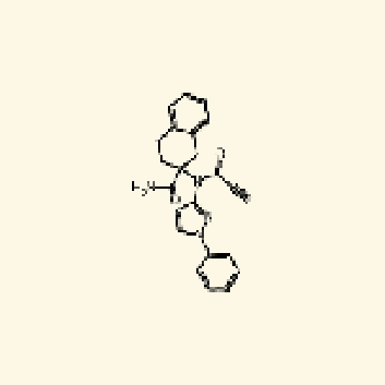 C#CC(=O)N(c1ccn(-c2ccccc2)n1)C1(C(N)=O)CCc2ccccc2C1